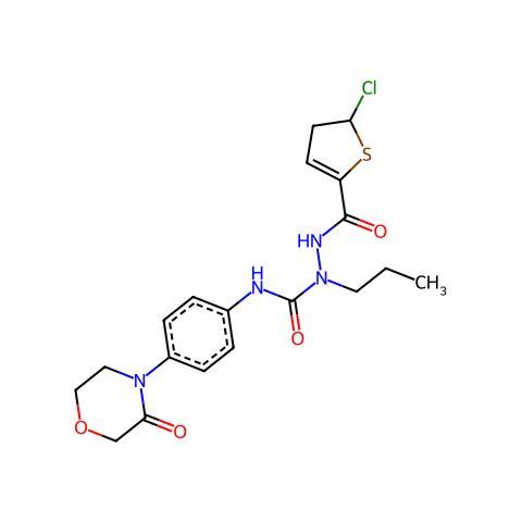 CCCN(NC(=O)C1=CCC(Cl)S1)C(=O)Nc1ccc(N2CCOCC2=O)cc1